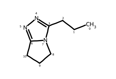 CCCc1nnc2n1CCC2